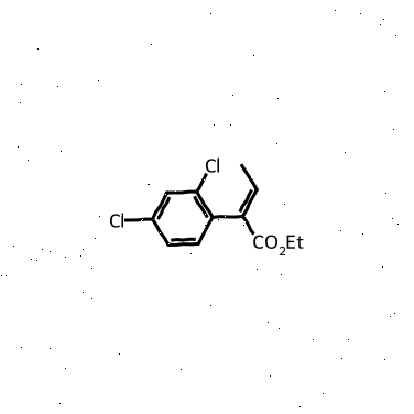 C/C=C(/C(=O)OCC)c1ccc(Cl)cc1Cl